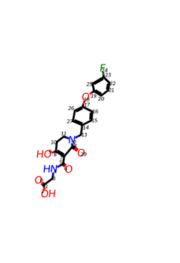 O=C(O)CNC(=O)C1=C(O)CCN(Cc2ccc(Oc3cccc(F)c3)cc2)C1=O